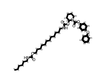 CCCCCCNC(=O)OCCCCCCCCCCCCNC(=O)OC1CCCCN1C(=O)Oc1ccc(Oc2ccccc2)cc1